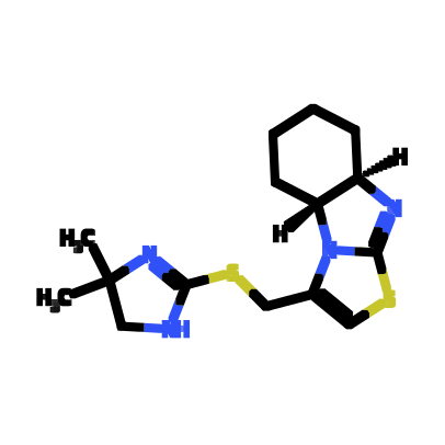 CC1(C)CNC(SCC2=CSC3=N[C@@H]4CCCC[C@H]4N23)=N1